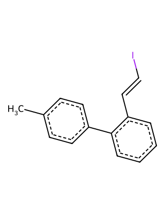 Cc1ccc(-c2ccccc2C=CI)cc1